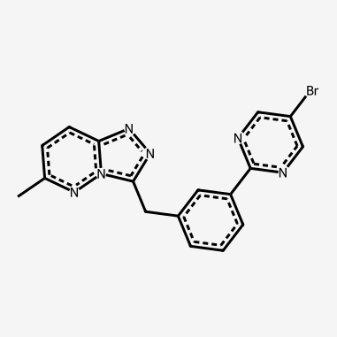 Cc1ccc2nnc(Cc3cccc(-c4ncc(Br)cn4)c3)n2n1